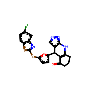 O=C1CCCC2=C1C(c1ccc(Sc3nc4cc(Cl)ccc4s3)o1)c1c[nH]nc1N2